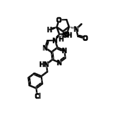 CN(C=O)[C@]12CO[C@@H]([C@H](n3cnc4c(NCc5cccc(Cl)c5)ncnc43)O1)[C@@H]2O